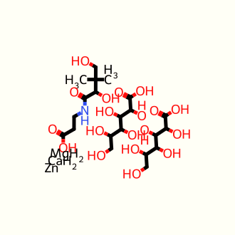 CC(C)(CO)C(O)C(=O)NCCC(=O)O.O=C(O)C(O)C(O)C(O)C(O)CO.O=C(O)C(O)C(O)C(O)C(O)CO.[CaH2].[MgH2].[Zn]